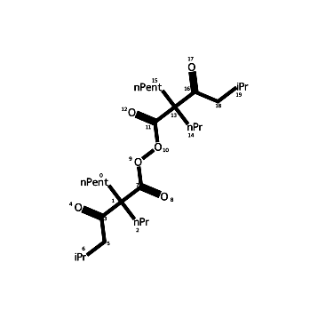 CCCCCC(CCC)(C(=O)CC(C)C)C(=O)OOC(=O)C(CCC)(CCCCC)C(=O)CC(C)C